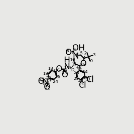 CC(C)(C)C1CN(C(=O)O)C[C@@H](CNC(=O)Oc2ccc([N+](=O)[O-])cc2)[C@H](c2ccc(Cl)c(Cl)c2)O1